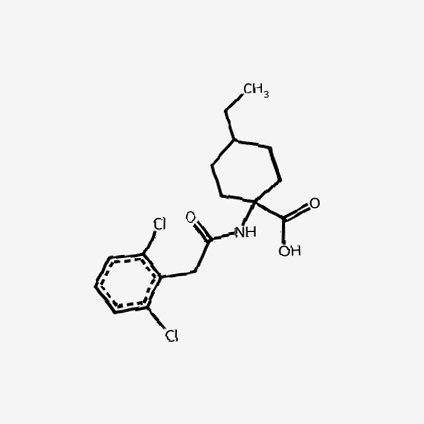 CCC1CCC(NC(=O)Cc2c(Cl)cccc2Cl)(C(=O)O)CC1